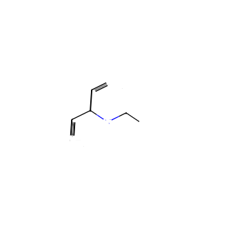 C=CC(C=C)NCC